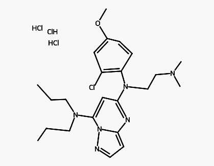 CCCN(CCC)c1cc(N(CCN(C)C)c2ccc(OC)cc2Cl)nc2ccnn12.Cl.Cl.Cl